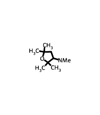 CNC1CC(C)(C)OC1(C)C